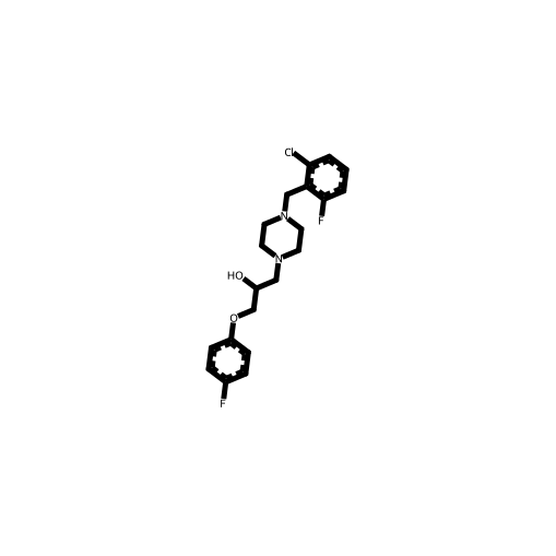 OC(COc1ccc(F)cc1)CN1CCN(Cc2c(F)cccc2Cl)CC1